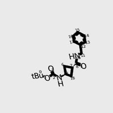 CC(C)(C)OC(=O)N[C@H]1C[C@H](C(=O)NCc2ccccc2)C1